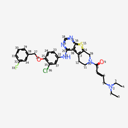 CCN(CC)CC=CC(=O)N1CCc2c(sc3ncnc(Nc4ccc(OCc5cccc(F)c5)c(Cl)c4)c23)C1